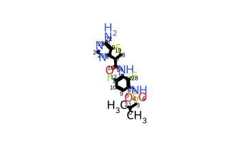 CC(C)CS(=O)(=O)Nc1ccc(F)c(NC(=O)C2CSc3c(N)ncnc32)c1F